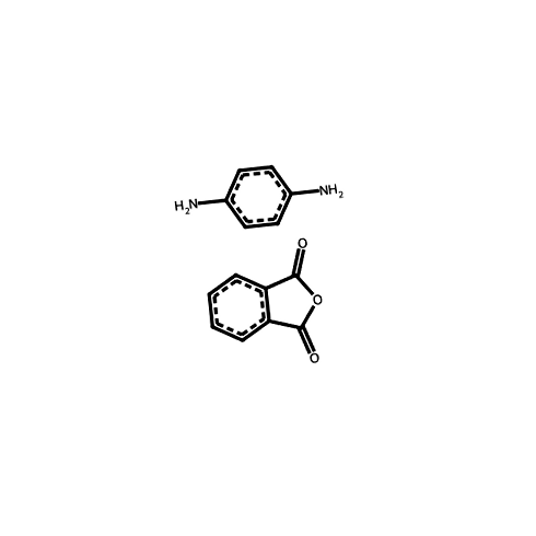 Nc1ccc(N)cc1.O=C1OC(=O)c2ccccc21